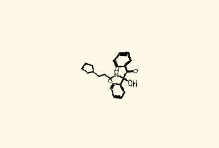 O=C(CCC1CCCC1)NC(O)(C(=O)c1ccccc1)c1ccccc1